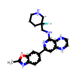 Cc1nc2ccc(-c3cc4nccnc4c(NCC4(F)CCCNC4)n3)cc2o1